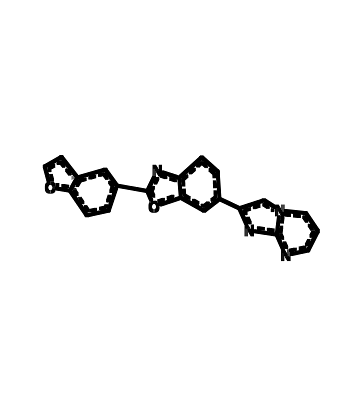 c1cnc2nc(-c3ccc4nc(-c5ccc6occc6c5)oc4c3)cn2c1